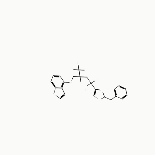 CC(C)(CC(O)(CNc1cccc2[nH]ccc12)C(F)(F)F)C1=COC(Cc2ccccc2)O1